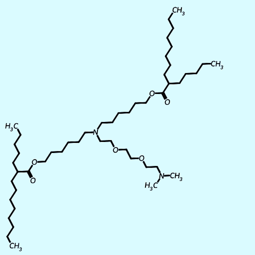 CCCCCCCCC(CCCCC)C(=O)OCCCCCCN(CCCCCCOC(=O)C(CCCCC)CCCCCCCC)CCOCCOCCN(C)C